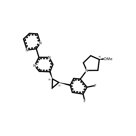 CO[C@@H]1CCN(c2cc([C@H]3C[C@H]3c3cnc(-c4ncccn4)nc3)cc(F)c2F)C1